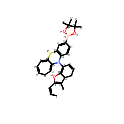 C/C=C\C1=C(C)C2CC=CC(N3C4=CCC=CC=C4Sc4cc(B5OC(C)(C)C(C)(C)O5)ccc43)=C2O1